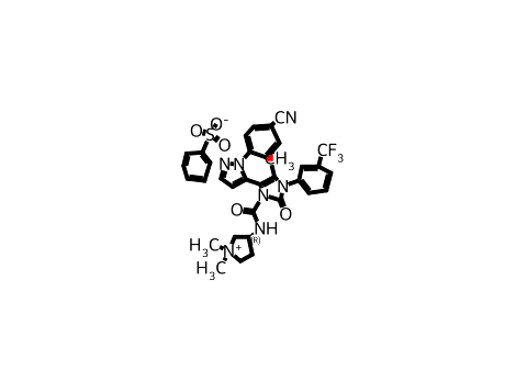 Cc1c(-c2ccnn2-c2ccc(C#N)cc2)n(C(=O)N[C@@H]2CC[N+](C)(C)C2)c(=O)n1-c1cccc(C(F)(F)F)c1.O=S(=O)([O-])c1ccccc1